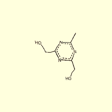 Cc1nc(CO)nc(CO)n1